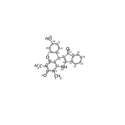 Cn1c2c(c(=O)n(C)c1=O)C(c1ccc(O)cc1)C1=C(N2)c2ccccc2C1=O